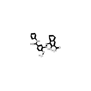 COc1ccc(C(O)Nc2ccccc2)cc1/N=N/c1c(O)c(C(N)=O)cc2ccccc12